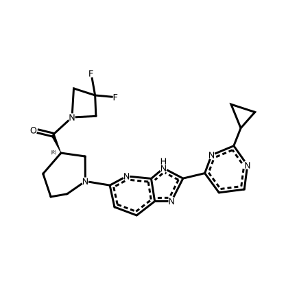 O=C([C@@H]1CCCN(c2ccc3nc(-c4ccnc(C5CC5)n4)[nH]c3n2)C1)N1CC(F)(F)C1